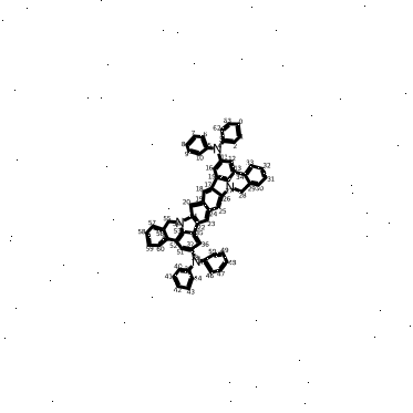 c1ccc(N(c2ccccc2)c2cc3c4c(c2)c2cc5cc6c(cc5cc2n4Cc2ccccc2-3)c2cc(N(c3ccccc3)c3ccccc3)cc3c2n6Cc2ccccc2-3)cc1